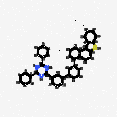 c1ccc(-c2nc(-c3ccccc3)nc(-c3cccc(-c4cccc(-c5cccc6c5ccc5sc7ccccc7c56)c4)c3)n2)cc1